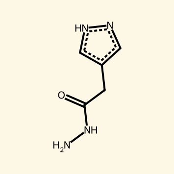 NNC(=O)Cc1cn[nH]c1